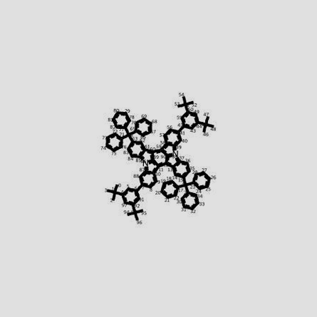 CC(C)(C)c1cc(-c2ccc3c4c5c6cc(C(c7ccccc7)(c7ccccc7)c7ccccc7)ccc6n6c7cc(-c8cc(C(C)(C)C)cc(C(C)(C)C)c8)ccc7c(c7c8cc(C(c9ccccc9)(c9ccccc9)c9ccccc9)ccc8n(c3c2)c74)c56)cc(C(C)(C)C)c1